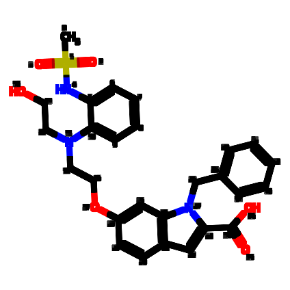 CS(=O)(=O)Nc1ccccc1N(CCO)CCOc1ccc2cc(C(=O)O)n(Cc3ccccc3)c2c1